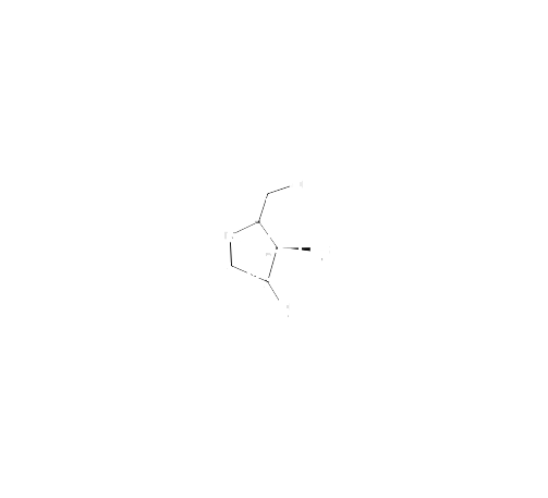 OCC1NCC(O)[C@@H]1O